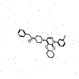 O=c1c(OC2CCCCC2)c(N2CCN([S@+]([O-])Cc3ccccc3)CC2)cnn1-c1cccc(F)c1